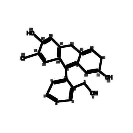 OCc1ccccc1C1=C2C=C(O)CC=C2Cc2cc(O)c(Cl)cc21